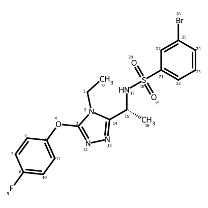 CCn1c(Oc2ccc(F)cc2)nnc1[C@@H](C)NS(=O)(=O)c1cccc(Br)c1